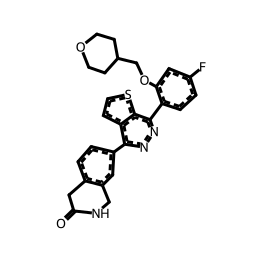 O=C1Cc2ccc(-c3nnc(-c4ccc(F)cc4OCC4CCOCC4)c4sccc34)cc2CN1